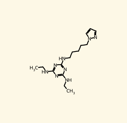 CCNc1nc(NCC)nc(NCCCCCn2cccn2)n1